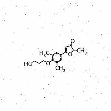 Cc1cc(C2=CC(=O)C(C)O2)cc(C)c1OCCCO